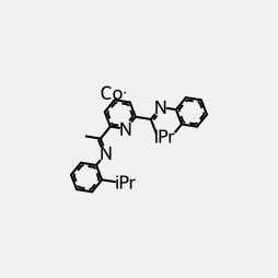 CC(=Nc1ccccc1C(C)C)c1cccc(C(C)=Nc2ccccc2C(C)C)n1.[Co]